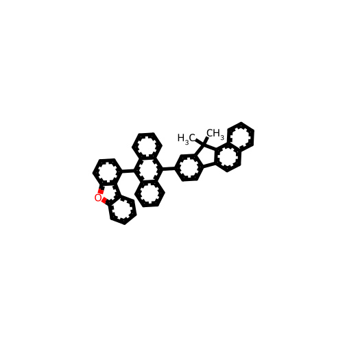 CC1(C)c2cc(-c3c4ccccc4c(-c4cccc5oc6ccccc6c45)c4ccccc34)ccc2-c2ccc3ccccc3c21